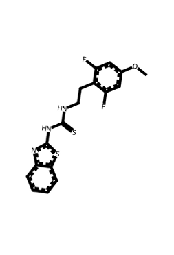 COc1cc(F)c(CCNC(=S)Nc2nc3ccccc3s2)c(F)c1